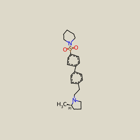 C[C@@H]1CCCN1CCc1ccc(-c2ccc(S(=O)(=O)N3CCCCC3)cc2)cc1